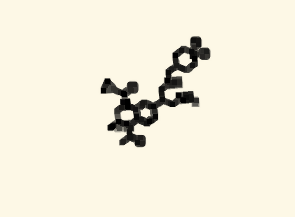 CC(=O)N1c2ccc(C(CN)CNCC3CCS(=O)(=O)CC3)cc2N(C(=O)C2CC2)C[C@@H]1C